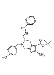 COc1ccc(CN2Cc3sc(N)c(C(=O)OC(C)(C)C)c3CC2CNC(=O)c2ccccc2)cc1